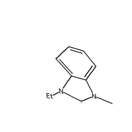 CCN1[CH]N(C)c2ccccc21